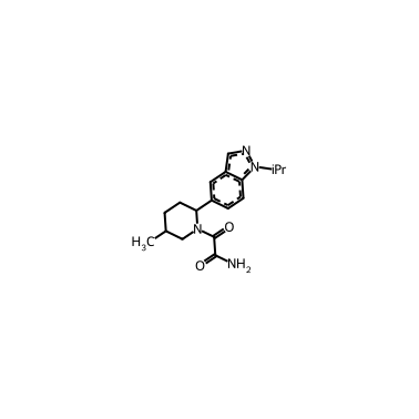 CC1CCC(c2ccc3c(cnn3C(C)C)c2)N(C(=O)C(N)=O)C1